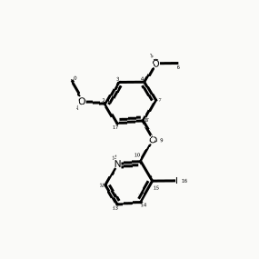 COc1cc(OC)cc(Oc2ncccc2I)c1